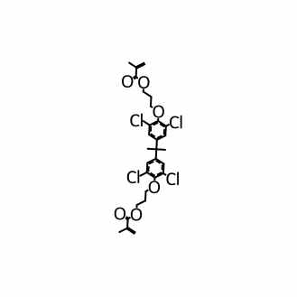 C=C(C)C(=O)OCCCOc1c(Cl)cc(C(C)(C)c2cc(Cl)c(OCCCOC(=O)C(=C)C)c(Cl)c2)cc1Cl